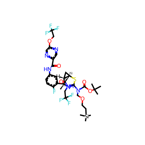 CC(C)(C)OC(=O)N(COCC[Si](C)(C)C)C1=N[C@](C)(c2cc(NC(=O)c3cnc(OCC(F)(F)F)cn3)ccc2F)[C@@H]2C[C@]2(C(=O)NCC(F)(F)F)S1